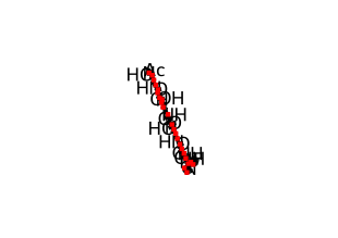 CC(=O)N(O)CCCCCNC(=O)CCC(=O)N(O)CCCCCNC(=O)CCC(=O)N(O)CCCCCNC(=O)CCC(=O)NC(=O)NN=C(c1ccccn1)c1ccccn1